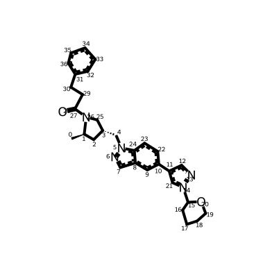 C[C@@H]1C[C@@H](Cn2ncc3cc(-c4cnn(C5CCCCO5)c4)ccc32)CN1C(=O)CCc1ccccc1